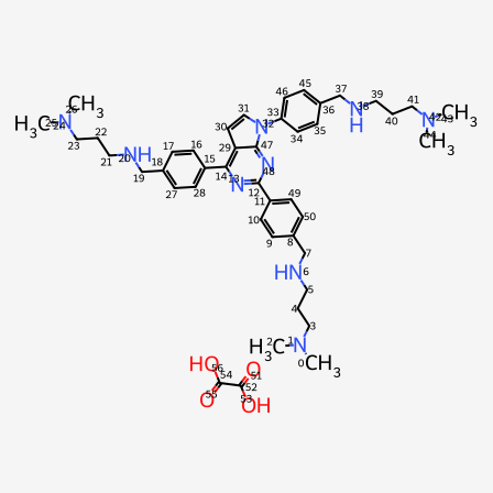 CN(C)CCCNCc1ccc(-c2nc(-c3ccc(CNCCCN(C)C)cc3)c3ccn(-c4ccc(CNCCCN(C)C)cc4)c3n2)cc1.O=C(O)C(=O)O